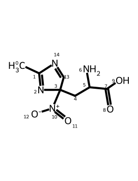 CC1=NC(CC(N)C(=O)O)([N+](=O)[O-])C=N1